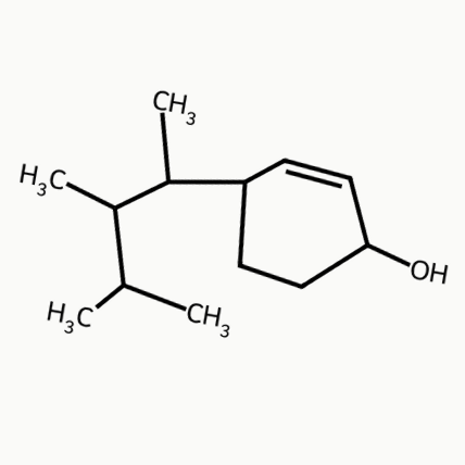 CC(C)C(C)C(C)C1C=CC(O)CC1